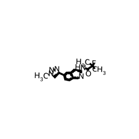 Cn1cc(-c2ccc3cnc(NC(=O)C(C)(C)F)cc3c2)nn1